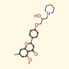 COc1cc(C)cc2oc(-c3ccc(OCC(O)CN4CCCCC4)cc3)cc(=O)c12